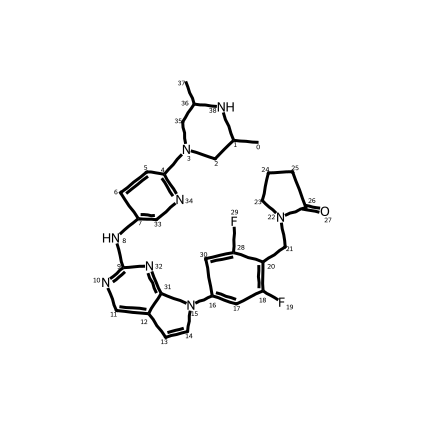 CC1CN(c2ccc(Nc3ncc4ccn(-c5cc(F)c(CN6CCCC6=O)c(F)c5)c4n3)cn2)CC(C)N1